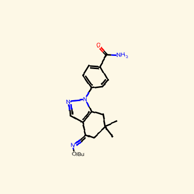 CC(C)CON=C1CC(C)(C)Cc2c1cnn2-c1ccc(C(N)=O)cc1